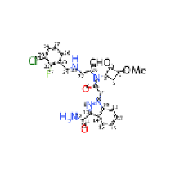 CO[C@H]1C[C@H](N(C(=O)Cn2nc(C(N)=O)c3ccccc32)C(C=O)CNCc2cccc(Cl)c2F)C1